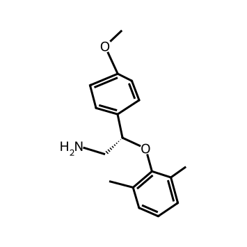 COc1ccc([C@@H](CN)Oc2c(C)cccc2C)cc1